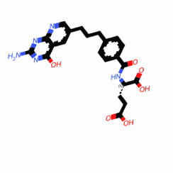 Nc1nc(O)c2cc(CCCc3ccc(C(=O)N[C@@H](CCC(=O)O)C(=O)O)cc3)cnc2n1